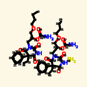 CCCCOCC(CN1C(=O)NC(=O)C(CC)(c2ccccc2)C1=O)OC(N)=O.CCCCOCC(CN1C(=O)NC(=O)C(CC)(c2ccccc2)C1=O)OC(N)=O.S